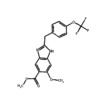 COC(=O)c1cc2nc(Cc3ccc(OC(F)(F)F)cc3)[nH]c2cc1OC